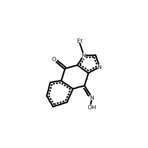 CCn1cnc2c1C(=O)c1ccccc1C2=NO